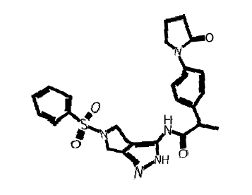 CC(C(=O)Nc1[nH]nc2c1CN(S(=O)(=O)c1ccccc1)C2)c1ccc(N2CCCC2=O)cc1